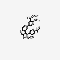 COC(=O)c1cc(-c2ccc3ncc4c(c3c2)n(-c2ccc(C(C)(C)C#N)nc2)/c(=N\C#N)n4C)cnc1N